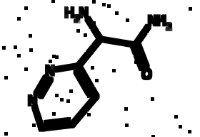 NC(=O)C(N)c1cccnn1